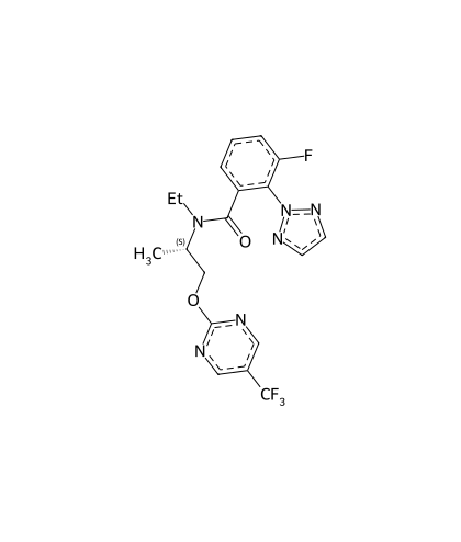 CCN(C(=O)c1cccc(F)c1-n1nccn1)[C@@H](C)COc1ncc(C(F)(F)F)cn1